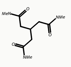 CNC(=O)CC(CC(=O)NC)CC(=O)NC